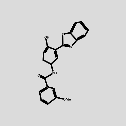 COc1cccc(C(=O)NC2C=C(c3nc4ccccc4s3)C(O)=CC2)c1